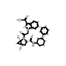 NC(=O)c1nn(CC(=O)N2[C@@H]3C[C@@H]3C[C@H]2C(=O)NC2CCC[C@H](c3ccccc3)C2)c2ccccc12